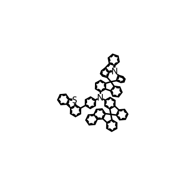 c1ccc2c(c1)-c1ccc(N(c3ccc(-c4cccc5c4sc4ccccc45)cc3)c3cccc4c3-c3ccccc3C43c4ccccc4-n4c5ccccc5c5cccc3c54)cc1C21c2ccccc2-c2c1ccc1ccccc21